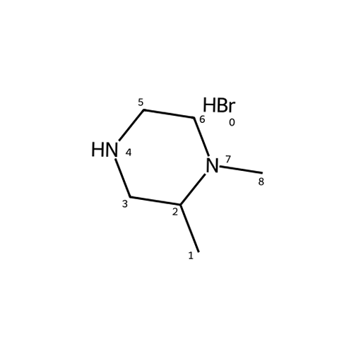 Br.CC1CNCCN1C